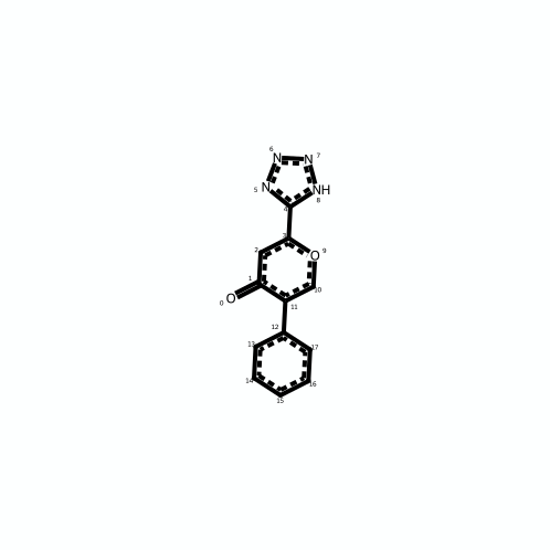 O=c1cc(-c2nnn[nH]2)occ1-c1ccccc1